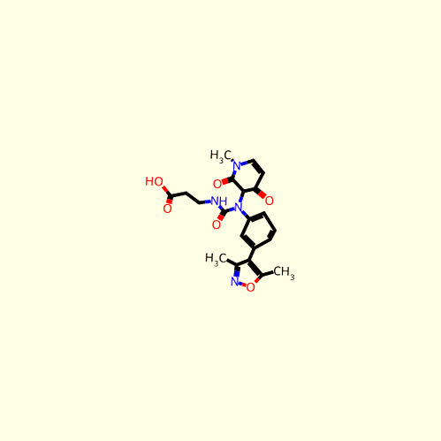 Cc1noc(C)c1-c1cccc(N(C(=O)NCCC(=O)O)C2C(=O)C=CN(C)C2=O)c1